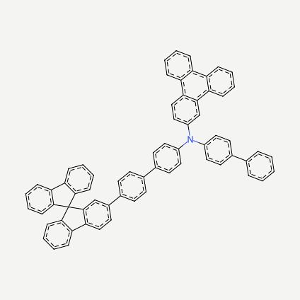 c1ccc(-c2ccc(N(c3ccc(-c4ccc(-c5ccc6c(c5)C5(c7ccccc7-c7ccccc75)c5ccccc5-6)cc4)cc3)c3ccc4c5ccccc5c5ccccc5c4c3)cc2)cc1